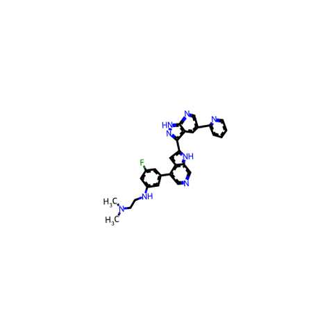 CN(C)CCNc1cc(F)cc(-c2cncc3[nH]c(-c4n[nH]c5ncc(-c6ccccn6)cc45)cc23)c1